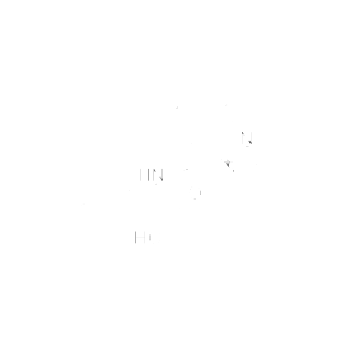 O=C(N[C@H](CO)C1CCCCC1)C1CCCCc2ncsc21